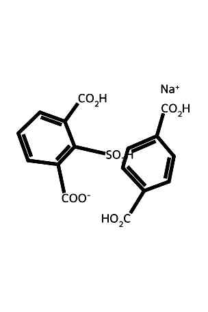 O=C(O)c1ccc(C(=O)O)cc1.O=C([O-])c1cccc(C(=O)O)c1S(=O)(=O)O.[Na+]